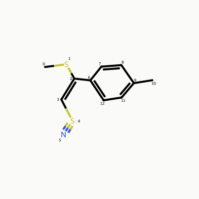 CS/C(=C/S#N)c1ccc(C)cc1